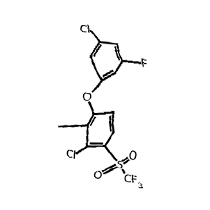 Cc1c(Oc2cc(F)cc(Cl)c2)ccc(S(=O)(=O)C(F)(F)F)c1Cl